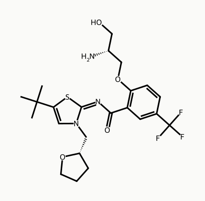 CC(C)(C)c1cn(C[C@@H]2CCCO2)c(=NC(=O)c2cc(C(F)(F)F)ccc2OC[C@H](N)CO)s1